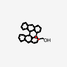 OCCOc1cccc2cc3ccccc3c(-c3c4ccccc4cc4ccccc34)c12